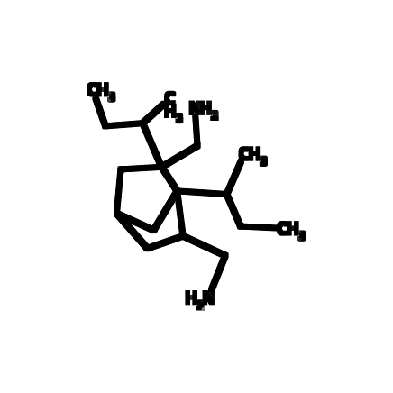 CCC(C)C1(CN)CC2CC(CN)C1(C(C)CC)C2